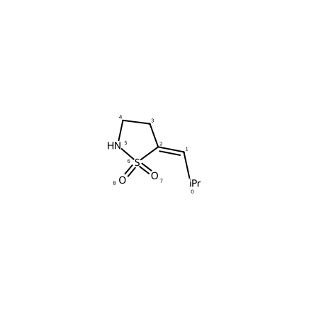 CC(C)/C=C1/CCNS1(=O)=O